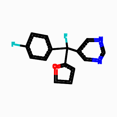 Fc1ccc(C(F)(c2cncnc2)c2ccco2)cc1